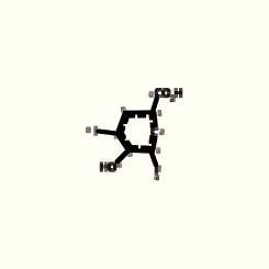 O=C(O)c1cc(F)c(O)c(I)c1